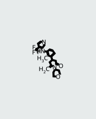 C=C1CC(c2cccc(Nc3cnccc3C(F)(F)F)c2C)CC(=O)N1C1CCOCC1